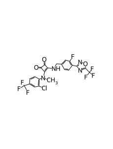 CN(c1ccc(C(F)(F)F)cc1Cl)c1c(NCc2ccc(-c3noc(C(F)(F)F)n3)c(F)c2)c(=O)c1=O